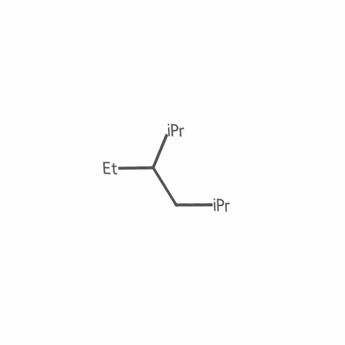 [CH2]C(C)CC(CC)C([CH2])C